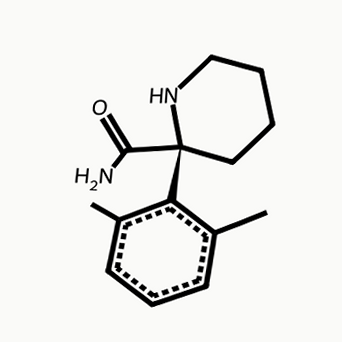 Cc1cccc(C)c1[C@]1(C(N)=O)CCCCN1